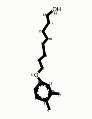 Cc1ccc(OCCCCCCCCO)cc1C